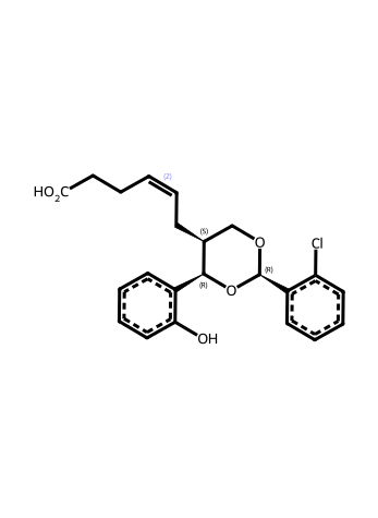 O=C(O)CC/C=C\C[C@H]1CO[C@@H](c2ccccc2Cl)O[C@H]1c1ccccc1O